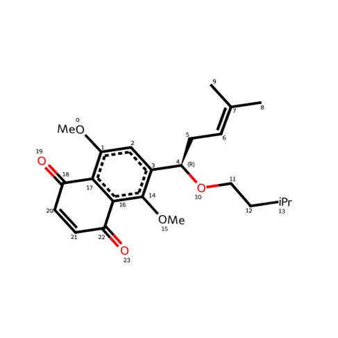 COc1cc([C@@H](CC=C(C)C)OCCC(C)C)c(OC)c2c1C(=O)C=CC2=O